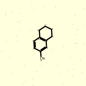 N#Cc1ccc2c(c1)[CH]CCC2